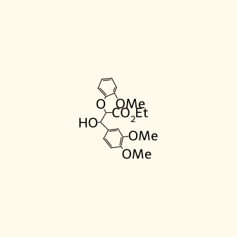 CCOC(=O)C(Oc1ccccc1OC)C(O)c1ccc(OC)c(OC)c1